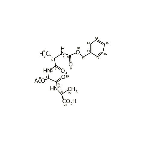 CC(=O)OC(NC(=O)[C@H](C)NC(=O)OCc1ccccc1)C(=O)N[C@@H](C)C(=O)O